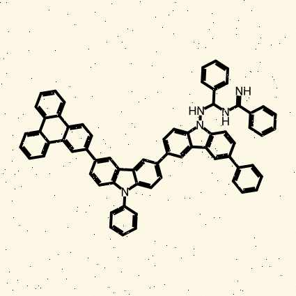 N=C(NC(Nn1c2ccc(-c3ccccc3)cc2c2cc(-c3ccc4c(c3)c3cc(-c5ccc6c7ccccc7c7ccccc7c6c5)ccc3n4-c3ccccc3)ccc21)c1ccccc1)c1ccccc1